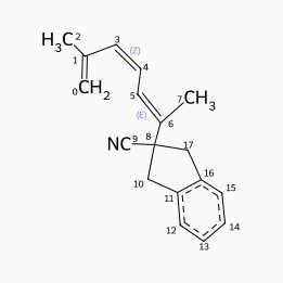 C=C(C)/C=C\C=C(/C)C1(C#N)Cc2ccccc2C1